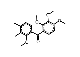 COc1ccc(C(=O)c2ccc(C)c(C)c2OC)c(OC)c1OC